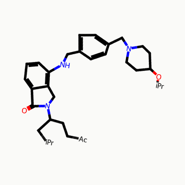 CC(=O)CCC(CC(C)C)N1Cc2c(NCc3ccc(CN4CCC(OC(C)C)CC4)cc3)cccc2C1=O